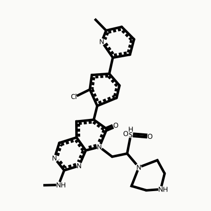 CNc1ncc2cc(-c3ccc(-c4cccc(C)n4)cc3Cl)c(=O)n(CC(N3CCNCC3)[SH](=O)=O)c2n1